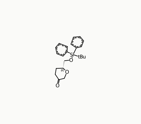 CC(C)(C)[Si](OC[C@H]1CCC(=O)CO1)(c1ccccc1)c1ccccc1